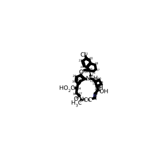 CN1CC/C=C/[C@H](O)[C@@H]2CC[C@H]2CN2C[C@@]3(CCCc4cc(Cl)ccc43)COc3ccc(cc32)C(C(=O)O)CC1=O